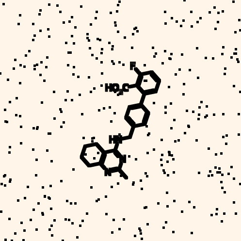 Cc1nc2c(c(NCc3ccc(-c4cccc(F)c4C(=O)O)cc3)n1)CCCC2